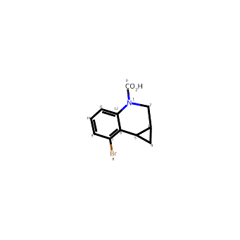 O=C(O)N1CC2CC2c2c(Br)cccc21